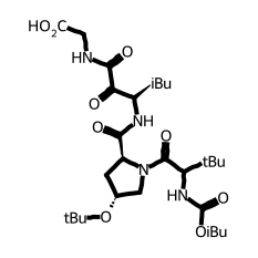 CC[C@H](C)C(NC(=O)[C@@H]1C[C@@H](OC(C)(C)C)CN1C(=O)C(NC(=O)OCC(C)C)C(C)(C)C)C(=O)C(=O)NCC(=O)O